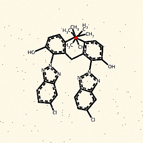 CC(C)(C)c1c[c]c(O)c(-n2nc3ccc(Cl)cc3n2)c1Cc1c(C(C)(C)C)c[c]c(O)c1-n1nc2ccc(Cl)cc2n1